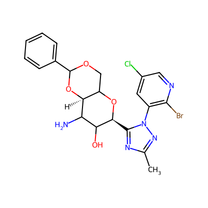 Cc1nc([C@@H]2OC3COC(c4ccccc4)O[C@@H]3C(N)C2O)n(-c2cc(Cl)cnc2Br)n1